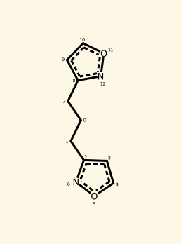 [CH](Cc1ccon1)Cc1ccon1